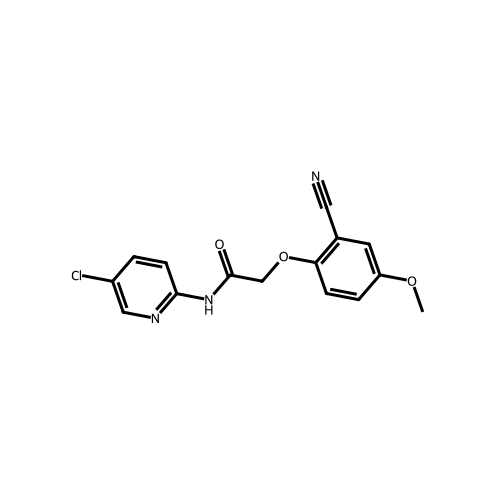 COc1ccc(OCC(=O)Nc2ccc(Cl)cn2)c(C#N)c1